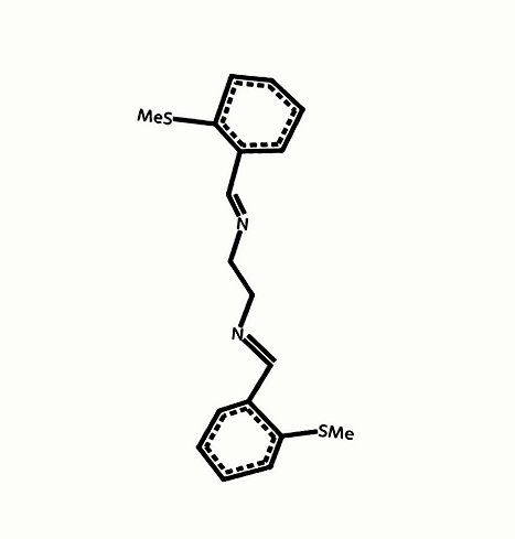 CSc1ccccc1/C=N/CC/N=C/c1ccccc1SC